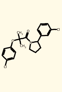 CC(C)(Oc1ccc(Cl)cc1)C(=O)N1CCCC1c1cccc(Cl)c1